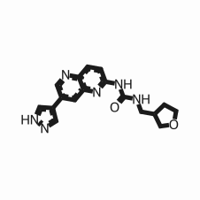 O=C(NCC1CCOC1)Nc1ccc2ncc(-c3cn[nH]c3)cc2n1